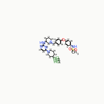 CS(=O)(=O)Nc1ccc(Oc2ccc(CN3CCCC(Nc4nccc(N5CCCCCC5)n4)C3)cc2)cc1.Cl.Cl.Cl